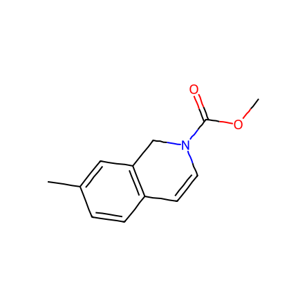 COC(=O)N1C=Cc2ccc(C)cc2C1